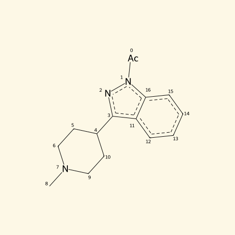 CC(=O)n1nc(C2CCN(C)CC2)c2ccccc21